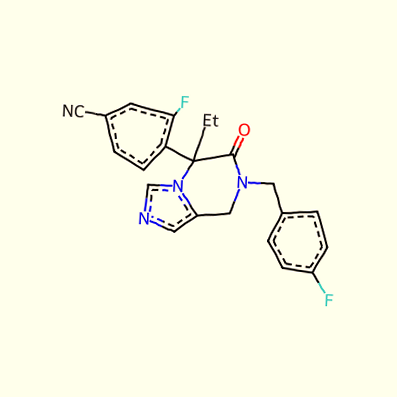 CCC1(c2ccc(C#N)cc2F)C(=O)N(Cc2ccc(F)cc2)Cc2cncn21